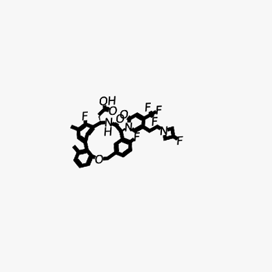 Cc1cc2cc(c1F)[C@H](CC(=O)O)NC(=O)[C@@H](n1cc(CCN3CC(F)C3)c(C(F)(F)F)cc1=O)c1cc(ccc1F)COc1cccc(C)c1-2